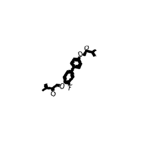 C=C(C)C(=O)COc1ccc(-c2ccc(OCC(=O)C(=C)C)c(F)c2)cc1